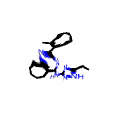 CCc1nc(Nc2nc(-c3ccccc3C)nc3c2CCCCC3)n[nH]1